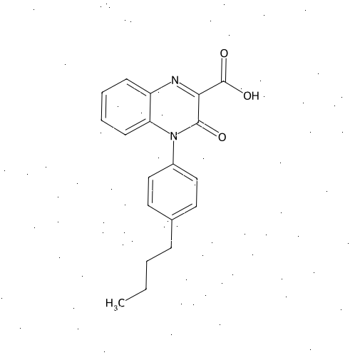 CCCCc1ccc(-n2c(=O)c(C(=O)O)nc3ccccc32)cc1